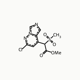 COC(=O)C(c1cc(Cl)nn2cncc12)S(C)(=O)=O